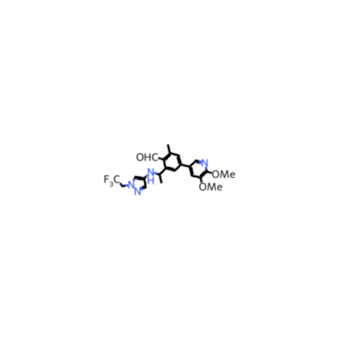 COc1cc(-c2cc(C)c(C=O)c(C(C)Nc3cnn(CC(F)(F)F)c3)c2)cnc1OC